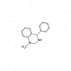 CN1CNC(c2ccccc2)c2ccccc21